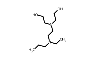 CCCN(CC)CCN(CCO)CCO